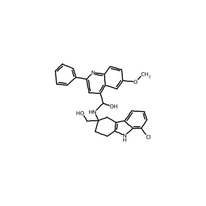 COc1ccc2nc(-c3ccccc3)cc(C(O)NC3(CO)CCc4[nH]c5c(Cl)cccc5c4C3)c2c1